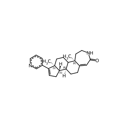 C[C@]12CCNC(=O)C=C1CC[C@@H]1C2CC[C@]2(C)C(c3cccnc3)=CC[C@@H]12